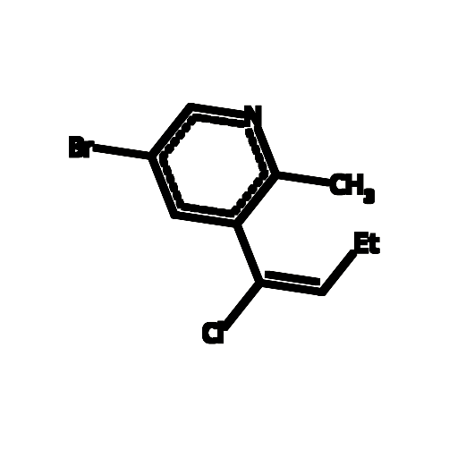 CC/C=C(/Cl)c1cc(Br)cnc1C